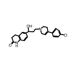 O=C1CCc2cc(C(O)CCN3CC=C(c4ccc(Cl)cc4)CC3)ccc2N1